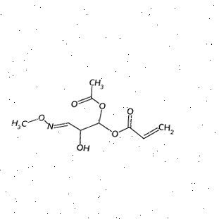 C=CC(=O)OC(OC(C)=O)C(O)C=NOC